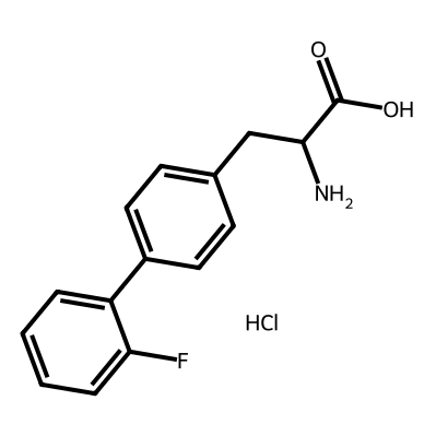 Cl.NC(Cc1ccc(-c2ccccc2F)cc1)C(=O)O